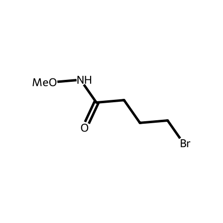 CONC(=O)CCCBr